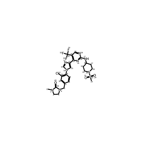 CN1CCN(Cc2ccc(-n3cnc(-c4nc(NC5CCN(S(C)(=O)=O)CC5)ncc4C(F)(F)F)c3)c(Cl)c2)C1=O